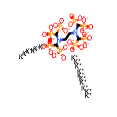 O=P([O-])([O-])C(N(CCN(C(P(=O)([O-])[O-])P(=O)([O-])[O-])C(P(=O)([O-])[O-])P(=O)([O-])[O-])C(P(=O)([O-])[O-])P(=O)([O-])[O-])P(=O)([O-])[O-].[K+].[K+].[K+].[K+].[K+].[K+].[K+].[K+].[K+].[K+].[K+].[K+].[K+].[K+].[K+].[K+]